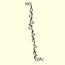 CC(=O)OCCOCCOCCOCCOCCOCCOCCOCCOCCO